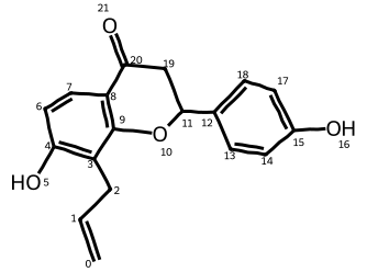 C=CCc1c(O)ccc2c1OC(c1ccc(O)cc1)CC2=O